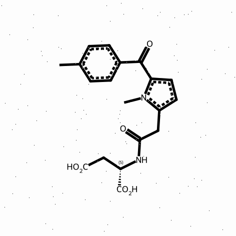 Cc1ccc(C(=O)c2ccc(CC(=O)N[C@@H](CC(=O)O)C(=O)O)n2C)cc1